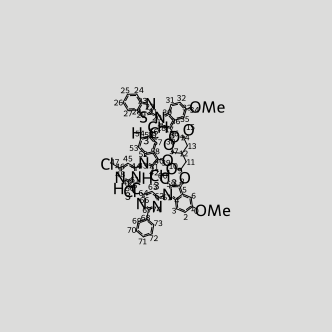 COc1ccc2c(c1)c(OC(=O)CC(CC(=O)Oc1c(C)n(-c3nc4ccccc4s3)c3ccc(OC)cc13)C(=O)Oc1c(C)n(-c3cc(Cl)nc(Cl)n3)c3ccc(C)cc13)c(C)n2-c1cc(C)nc(-c2ccccc2)n1